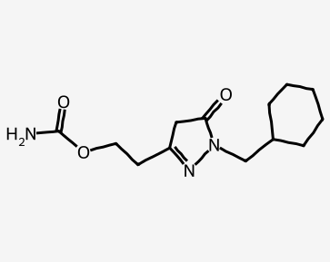 NC(=O)OCCC1=NN(CC2CCCCC2)C(=O)C1